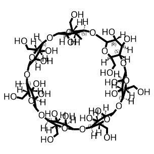 C[C@H]1[C@@H]2OC3O[C@H](CO)[C@@H](OC4O[C@H](CO)[C@@H](OC5O[C@H](CO)[C@@H](OC6O[C@H](CO)[C@@H](OC7O[C@H](CO)[C@@H](OC8O[C@H](CO)[C@@H](OC(O[C@@H]2CO)[C@@H]1O)[C@H](O)[C@H]8O)[C@H](O)[C@H]7O)[C@H](O)[C@H]6O)[C@H](O)[C@H]5O)[C@H](O)[C@H]4O)[C@H](O)[C@H]3O